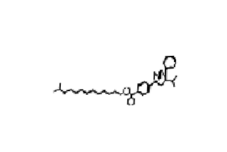 CC(C)CCCCCCCCCCCOC(=O)c1ccc(C2=NN(c3ccccc3)C(C(C)C)C2)cc1